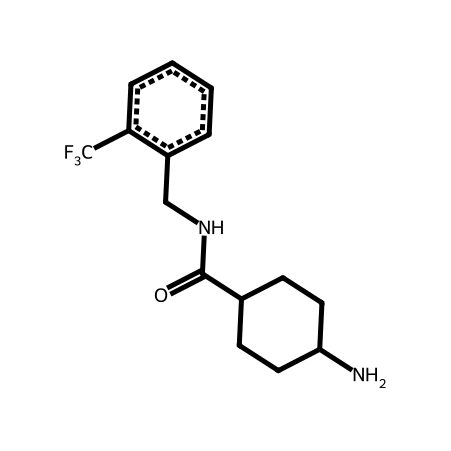 NC1CCC(C(=O)NCc2ccccc2C(F)(F)F)CC1